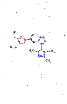 Cc1nn(C)c(C)c1-c1cnn2ccc(-c3cc(C(=O)O)c(CC(C)C)o3)cc12